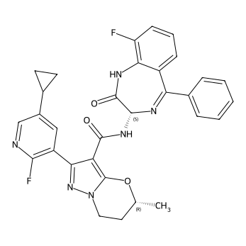 C[C@@H]1CCn2nc(-c3cc(C4CC4)cnc3F)c(C(=O)N[C@H]3N=C(c4ccccc4)c4cccc(F)c4NC3=O)c2O1